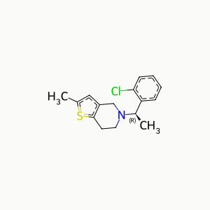 Cc1cc2c(s1)CCN([C@H](C)c1ccccc1Cl)C2